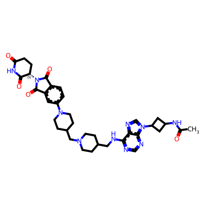 CC(=O)NC1CC(n2cnc3c(NCC4CCN(CC5CCN(c6ccc7c(c6)C(=O)N([C@H]6CCC(=O)NC6=O)C7=O)CC5)CC4)ncnc32)C1